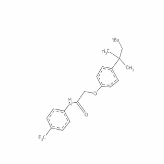 CC(C)(C)CC(C)(C)c1ccc(OCC(=O)Nc2ccc(C(F)(F)F)cc2)cc1